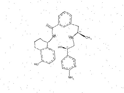 C[C@H](Cc1cccc(C(=O)NC2CCCc3c(O)cccc32)c1)NC[C@H](O)c1ccc(N)nc1